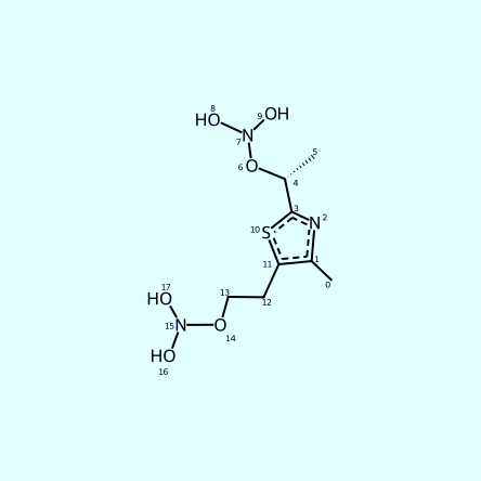 Cc1nc([C@@H](C)ON(O)O)sc1CCON(O)O